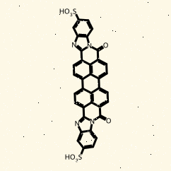 O=c1c2ccc3c4ccc5c(=O)n6c7ccc(S(=O)(=O)O)cc7nc6c6ccc(c7ccc(c2c37)c2nc3cc(S(=O)(=O)O)ccc3n12)c4c56